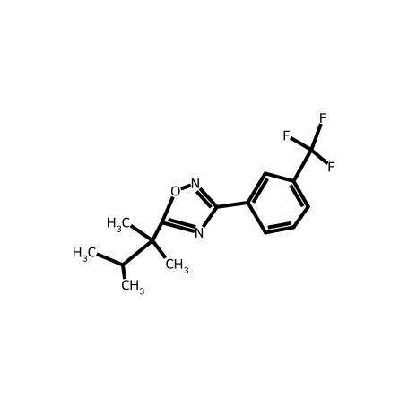 CC(C)C(C)(C)c1nc(-c2cccc(C(F)(F)F)c2)no1